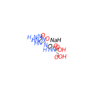 Nc1nc(=O)c2c([nH]1)NCC(CNc1ccc(C(=O)N[C@@H](CCC(=O)O)C(=O)O)cc1)N2C=O.[NaH]